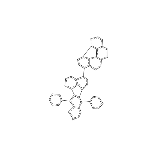 c1ccc(-c2c3c(c(-c4ccccc4)c4cnccc24)-c2cccc4c(-c5ccc6c7c5ccc5ccc8cccc-6c8c57)ccc-3c24)cc1